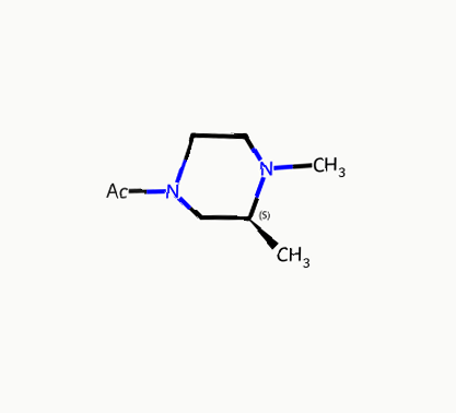 CC(=O)N1CCN(C)[C@@H](C)C1